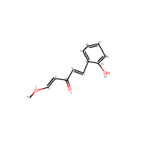 COC=CC(=O)C=Cc1ccccc1O